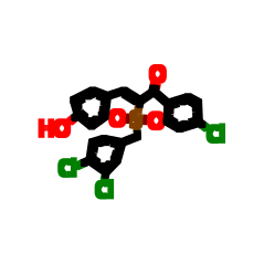 O=C(C(=Cc1ccc(O)cc1)S(=O)(=O)Cc1ccc(Cl)c(Cl)c1)c1ccc(Cl)cc1